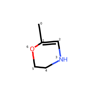 CC1=CNCCO1